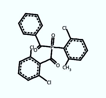 Cc1cccc(Cl)c1P(=O)(C(=O)c1ccccc1)C(=O)c1c(Cl)cccc1Cl